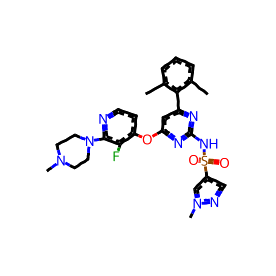 Cc1cccc(C)c1-c1cc(Oc2ccnc(N3CCN(C)CC3)c2F)nc(NS(=O)(=O)c2cnn(C)c2)n1